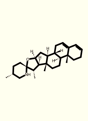 C[C@@H]1CC[C@@]2(NC1)O[C@H]1C[C@H]3[C@@H]4CC=C5C=CCC[C@]5(C)[C@H]4CC[C@]3(C)[C@H]1[C@@H]2C